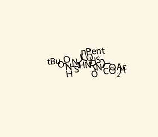 CCCCC/C=C(\C(=O)NC1C(=O)N2C(C(=O)O)=C(COC(C)=O)CS[C@H]12)c1csc(NC(=O)OC(C)(C)C)n1